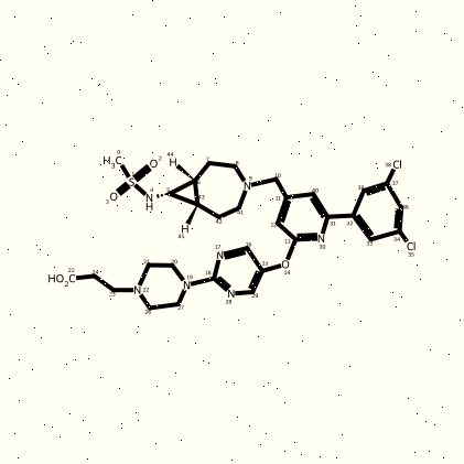 CS(=O)(=O)N[C@@H]1[C@@H]2CCN(Cc3cc(Oc4cnc(N5CCN(CCC(=O)O)CC5)nc4)nc(-c4cc(Cl)cc(Cl)c4)c3)CC[C@@H]21